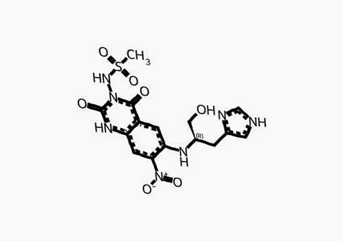 CS(=O)(=O)Nn1c(=O)[nH]c2cc([N+](=O)[O-])c(N[C@@H](CO)Cc3c[nH]cn3)cc2c1=O